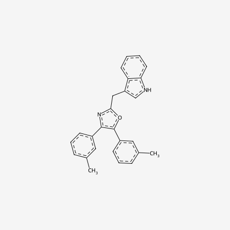 Cc1cccc(-c2nc(Cc3c[nH]c4ccccc34)oc2-c2cccc(C)c2)c1